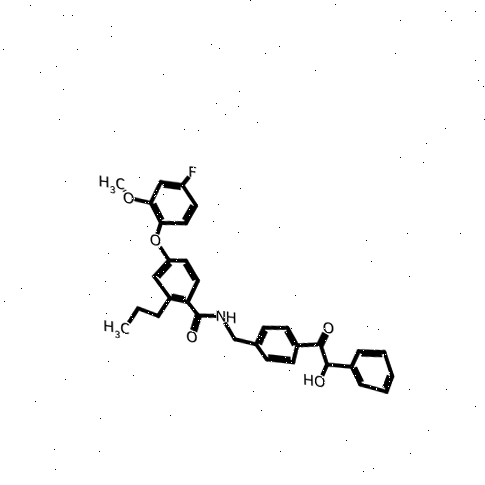 CCCc1cc(Oc2ccc(F)cc2OC)ccc1C(=O)NCc1ccc(C(=O)C(O)c2ccccc2)cc1